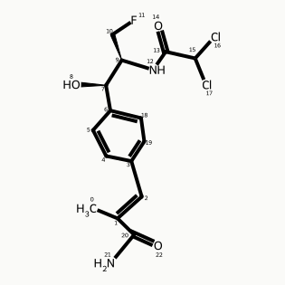 C/C(=C\c1ccc([C@@H](O)[C@@H](CF)NC(=O)C(Cl)Cl)cc1)C(N)=O